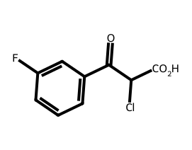 O=C(O)C(Cl)C(=O)c1cccc(F)c1